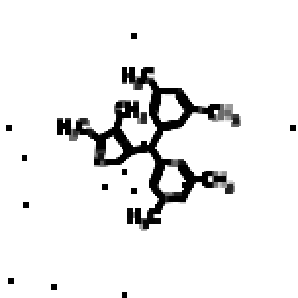 CC1=CCC(C(c2cc(C)cc(C)c2)c2cc(C)cc(C)c2)=C1C